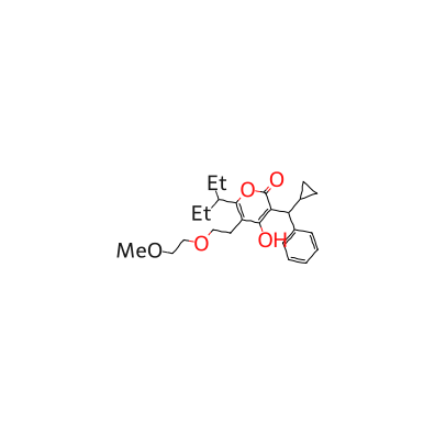 CCC(CC)c1oc(=O)c(C(c2ccccc2)C2CC2)c(O)c1CCOCCOC